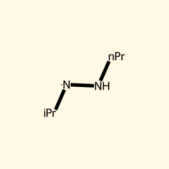 CCCN[N]C(C)C